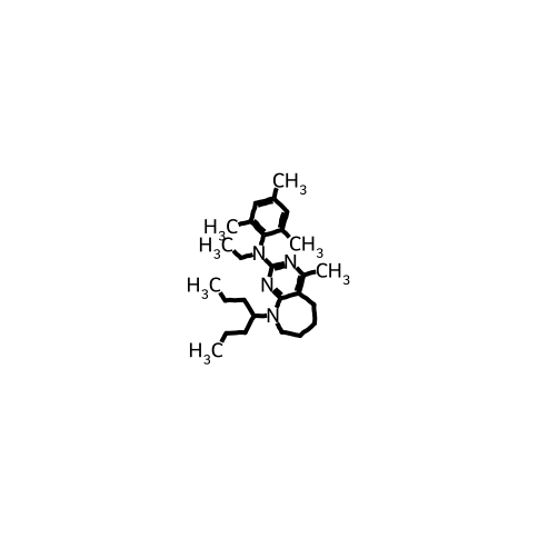 CCCC(CCC)N1CCCCc2c(C)nc(N(CC)c3c(C)cc(C)cc3C)nc21